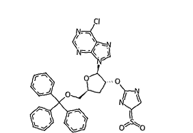 O=S(=O)=C1C=NC(O[C@@H]2C[C@@H](COC(c3ccccc3)(c3ccccc3)c3ccccc3)O[C@H]2n2cnc3c(Cl)ncnc32)=N1